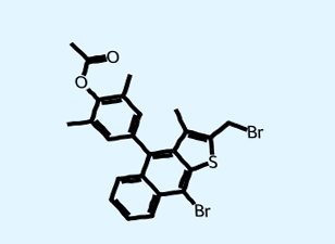 CC(=O)Oc1c(C)cc(-c2c3ccccc3c(Br)c3sc(CBr)c(C)c23)cc1C